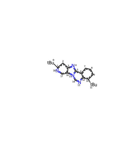 CC(C)(C)c1cc2nc3c4cccc(C(C)(C)C)c4ncn3c2cn1